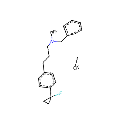 CC#N.CCCN(CCCc1ccc(C2(F)CC2)cc1)Cc1ccccc1